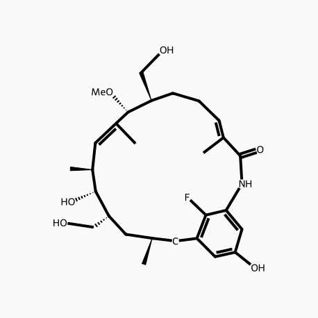 CO[C@H]1/C(C)=C/[C@H](C)[C@@H](O)[C@@H](CO)C[C@H](C)Cc2cc(O)cc(c2F)NC(=O)/C(C)=C/CC[C@@H]1CO